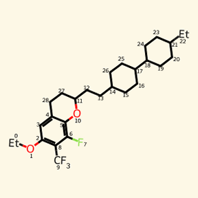 CCOc1cc2c(c(F)c1C(F)(F)F)OC(CCC1CCC(C3CCC(CC)CC3)CC1)CC2